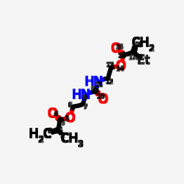 C=C(C)C(=O)OCCNC(=O)NCCOC(=O)C(=C)CC